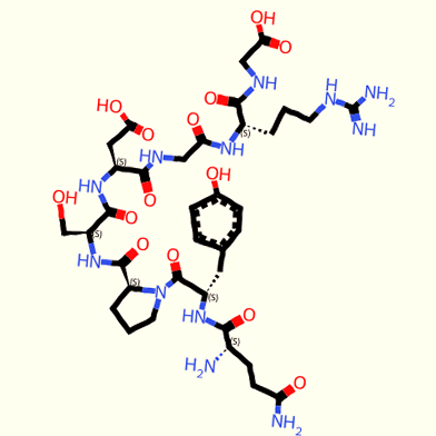 N=C(N)NCCC[C@H](NC(=O)CNC(=O)[C@H](CC(=O)O)NC(=O)[C@H](CO)NC(=O)[C@@H]1CCCN1C(=O)[C@H](Cc1ccc(O)cc1)NC(=O)[C@@H](N)CCC(N)=O)C(=O)NCC(=O)O